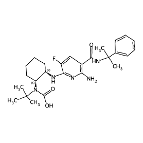 CC(C)(NC(=O)c1cc(F)c(N[C@@H]2CCCC[C@@H]2N(C(=O)O)C(C)(C)C)nc1N)c1ccccc1